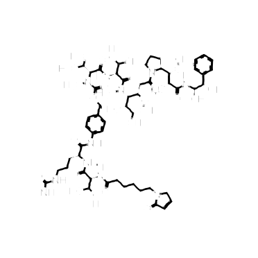 CC[C@H](C)[C@@H]([C@@H](CC(=O)N1CCC[C@H]1[C@H](OC)[C@@H](C)C(=O)N[C@H](C)[C@@H](O)c1ccccc1)OC)N(C)C(=O)[C@@H](NC(=O)[C@H](C(C)C)N(C)C(=O)OCc1ccc(NC(=O)[C@H](CCCNC(N)=O)NC(=O)[C@@H](NC(=O)CCCCCN2CC=CC2=O)C(C)C)cc1)C(C)C